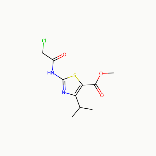 COC(=O)c1sc(NC(=O)CCl)nc1C(C)C